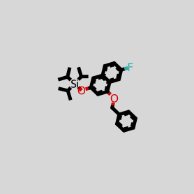 CC(C)[Si](Oc1cc(OCc2ccccc2)c2cc(F)ccc2c1)(C(C)C)C(C)C